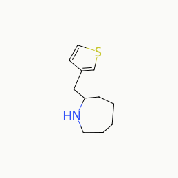 c1cc(CC2CCCCCN2)cs1